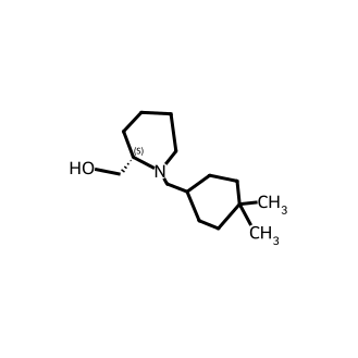 CC1(C)CCC(CN2CCCC[C@H]2CO)CC1